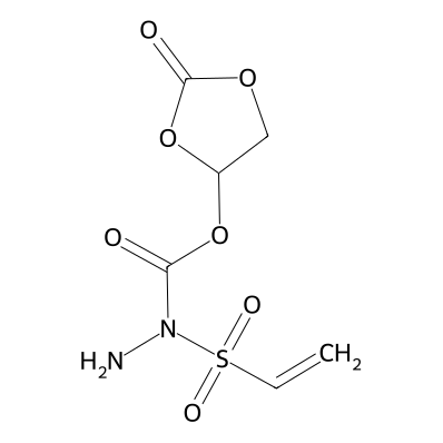 C=CS(=O)(=O)N(N)C(=O)OC1COC(=O)O1